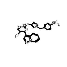 Nc1ccc(Cn2cc(Nc3ncc(Cl)c(-c4cnn5ccccc45)n3)cn2)cc1